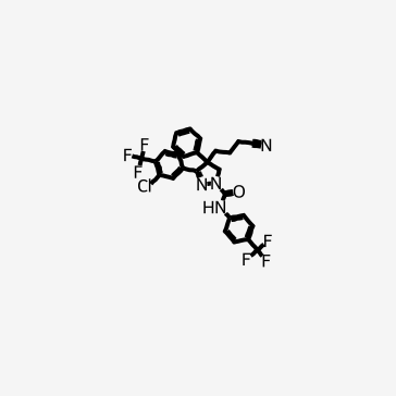 N#CCCCC1(c2ccccc2)CN(C(=O)Nc2ccc(C(F)(F)F)cc2)N=C1c1ccc(C(F)(F)F)c(Cl)c1